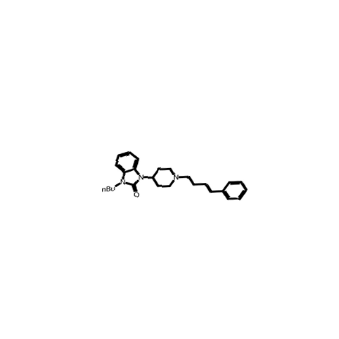 CCCCn1c(=O)n(C2CCN(CCCCc3ccccc3)CC2)c2ccccc21